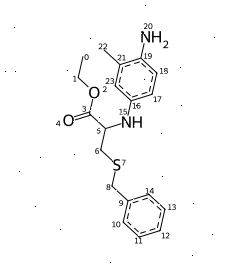 CCOC(=O)C(CSCc1ccccc1)Nc1ccc(N)c(C)c1